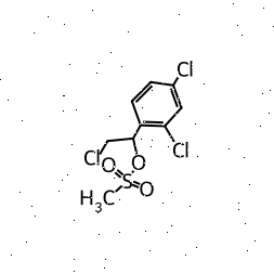 CS(=O)(=O)OC(CCl)c1ccc(Cl)cc1Cl